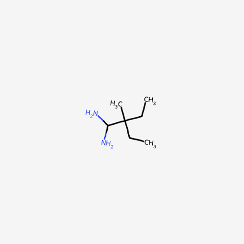 CCC(C)(CC)C(N)N